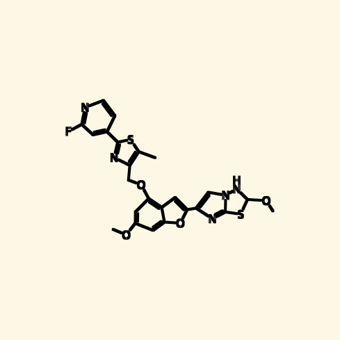 COc1cc(OCc2nc(-c3ccnc(F)c3)sc2C)c2cc(-c3cn4c(n3)SC(OC)N4)oc2c1